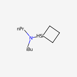 CCCN(C(C)CC)[SiH]1CCC1